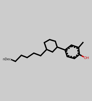 CCCCCCCCCCCCCCCC1CCCC(c2ccc(O)c(C)c2)C1